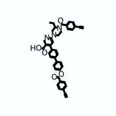 C#Cc1ccc(C(=O)Oc2ccc(-c3ccc(-c4cc(N5CCN(C(=O)c6ccc(C#C)cc6)C(CC)C5)ncc4C(=O)O)cc3)cc2)cc1